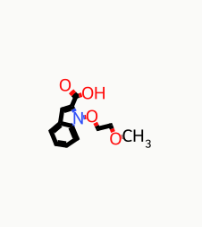 COCCOn1c(C(=O)O)cc2ccccc21